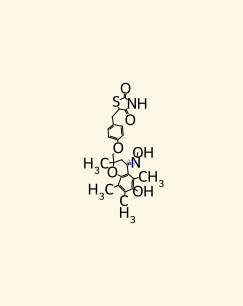 Cc1c(C)c2c(c(C)c1O)/C(=N/O)CC(C)(COc1ccc(CC3SC(=O)NC3=O)cc1)O2